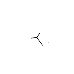 CC(C(=O)O)C(=O)O.[KH].[LiH]